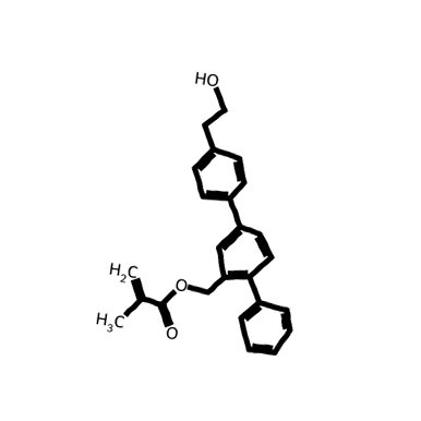 C=C(C)C(=O)OCc1cc(-c2ccc(CCO)cc2)ccc1-c1ccccc1